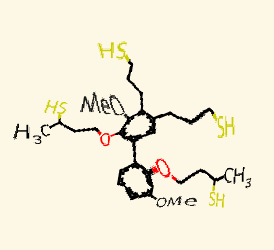 COc1cccc(-c2cc(CCCS)c(CCCS)c(OC)c2OCCC(C)S)c1OCCC(C)S